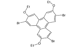 CCOc1cc2c(cc1Br)c1cc(Br)c(OCC)cc1c1cc(OCC)c(Br)cc21